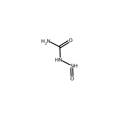 NC(=O)N[SiH]=O